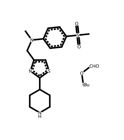 CC(C)(C)OC=O.CN(Cc1csc(C2CCNCC2)n1)c1ccc(S(C)(=O)=O)cc1